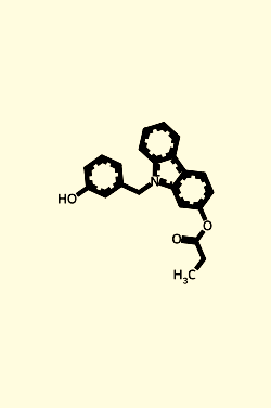 CCC(=O)Oc1ccc2c3ccccc3n(Cc3cccc(O)c3)c2c1